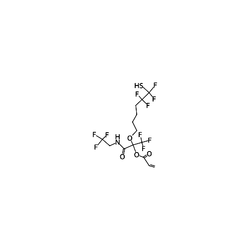 C=CC(=O)OC(OCCCCC(F)(F)C(F)(F)S)(C(=O)NCC(F)(F)F)C(F)(F)F